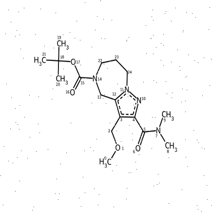 COCc1c(C(=O)N(C)C)nn2c1CN(C(=O)OC(C)(C)C)CCC2